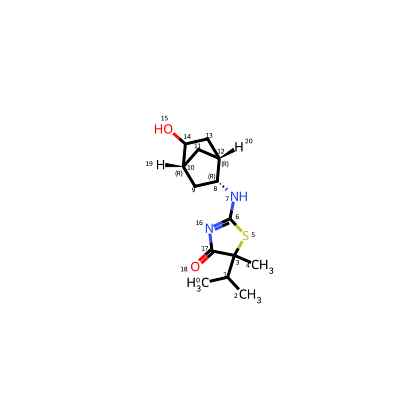 CC(C)C1(C)SC(N[C@@H]2C[C@H]3C[C@@H]2CC3O)=NC1=O